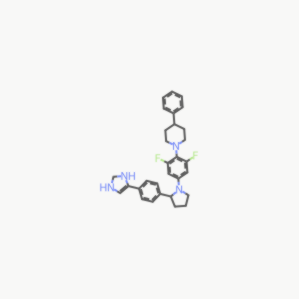 Fc1cc(N2CCCC2c2ccc(C3=CNCN3)cc2)cc(F)c1N1CCC(c2ccccc2)CC1